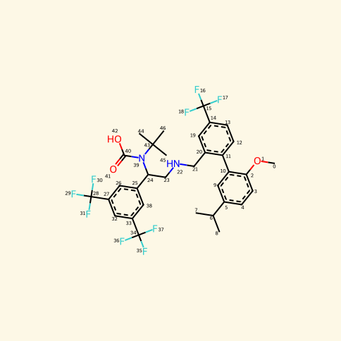 COc1ccc(C(C)C)cc1-c1ccc(C(F)(F)F)cc1CNCC(c1cc(C(F)(F)F)cc(C(F)(F)F)c1)N(C(=O)O)C(C)(C)C